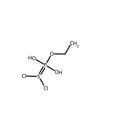 CCOP(O)(O)=S(Cl)Cl